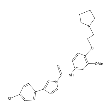 COc1cc(NC(=O)n2ccc(-c3ccc(Cl)cc3)c2)ccc1OCCN1CCCC1